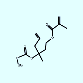 C=CCC(C)(CCOC(=O)C(=C)C)OC(=O)OC(C)(C)C